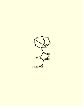 CSc1nnc(C23CC4CC(CC(C4)C2)C3)[nH]1